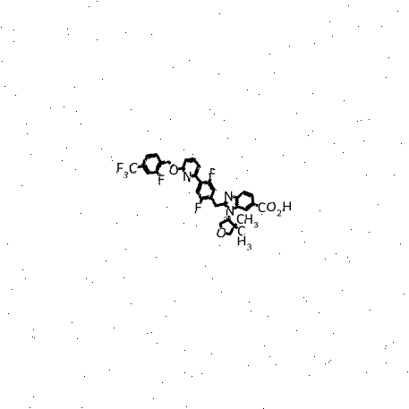 CC1(C)COC[C@H]1n1c(Cc2cc(F)c(-c3cccc(OCc4ccc(C(F)(F)F)cc4F)n3)cc2F)nc2ccc(C(=O)O)cc21